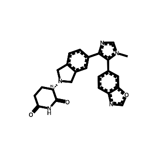 Cn1cnc(-c2ccc3c(c2)CN([C@H]2CCC(=O)NC2=O)C3)c1-c1ccc2ncoc2c1